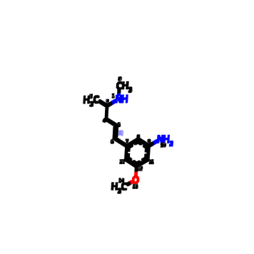 CNC(C)C/C=C/c1cc(N)cc(OC)c1